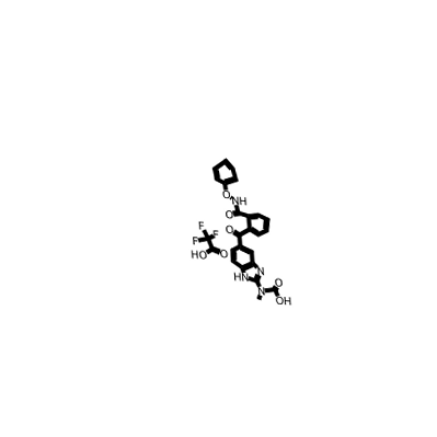 CN(C(=O)O)c1nc2cc(C(=O)c3ccccc3C(=O)NOc3ccccc3)ccc2[nH]1.O=C(O)C(F)(F)F